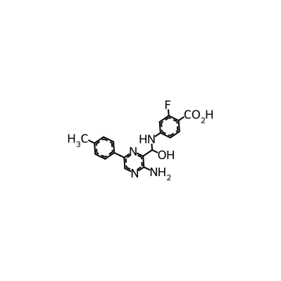 Cc1ccc(-c2cnc(N)c(C(O)Nc3ccc(C(=O)O)c(F)c3)n2)cc1